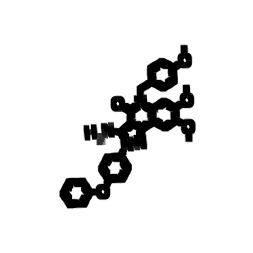 COc1ccc(Cn2c(=O)c3c(N)n(-c4ccc(Oc5ccccc5)cc4)nc3c3cc(OC)c(OC)cc32)cc1